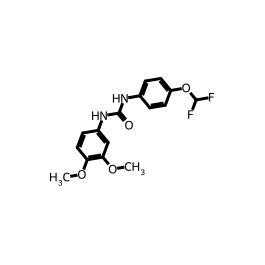 COc1ccc(NC(=O)Nc2ccc(OC(F)F)cc2)cc1OC